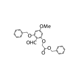 COc1cc(OCC(=O)OCc2ccccc2)c(C=O)c(OCc2ccccc2)c1